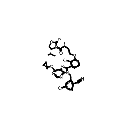 CC(C)[C@@H]1COC(=O)N1C(=O)[C@H](C)CCOc1cccc(-c2nc3c(OC4(C)CC4)ncnc3n2Cc2cc(Cl)ccc2C#N)c1Cl